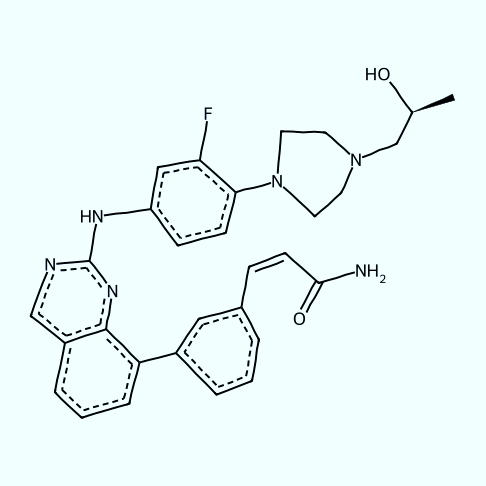 C[C@H](O)CN1CCN(c2ccc(Nc3ncc4cccc(-c5cccc(C=CC(N)=O)c5)c4n3)cc2F)CC1